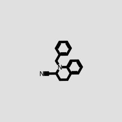 N#CC1CCc2ccccc2N1Cc1ccccc1